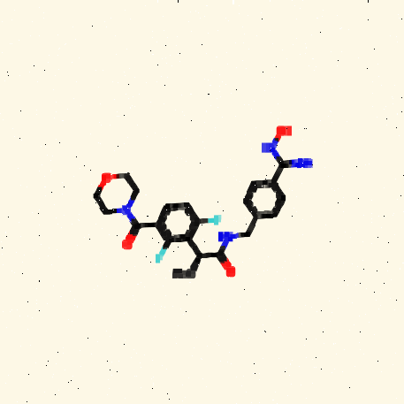 CO[C@H](C(=O)NCc1ccc(C(=N)NO)cc1)c1c(F)ccc(C(=O)N2CCOCC2)c1F